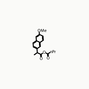 CCCC(=O)OC(=O)C(C)c1ccc2cc(OC)ccc2c1